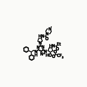 CCC(=O)N[C@H]1C[C@@H](n2cnc3c(NCC(c4ccccc4)c4ccccc4)nc(N4CC[C@@H](NC(=O)N5CCN(C)CC5)C4)nc32)[C@H](O)[C@@H]1OC(=O)C(F)(F)F